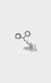 O=P(O)(O)OCCCC(c1ccccc1)c1ccccc1